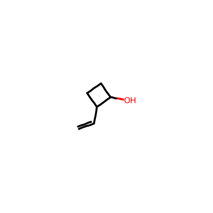 C=CC1CCC1O